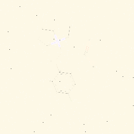 CC[N+](CC)(CC)SSc1ccc(F)cc1.O=C[O-]